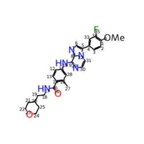 COc1ccc(-c2cnc3c(Nc4ccc(C(=O)NCCC5CCOCC5)c(C)c4)nccn23)cc1F